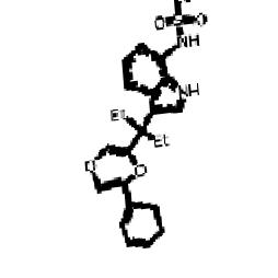 CCC(CC)(C1=COC=C(C2=CC=CCC2)O1)c1c[nH]c2c(NS(=O)(=O)CC)cccc12